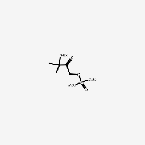 CCCCCCC(C)(C)C(=O)COP(=O)(OC)OC